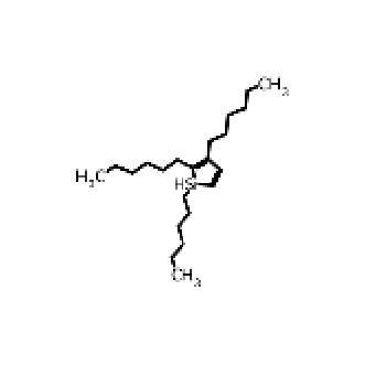 CCCCCCC1=C(CCCCCC)[SiH](CCCCCC)C=C1